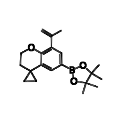 C=C(C)c1cc(B2OC(C)(C)C(C)(C)O2)cc2c1OCCC21CC1